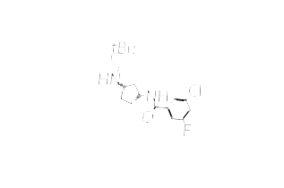 CC(C)(C)CCN[C@@H]1CC[C@@H](NC(=O)c2cc(F)cc(Cl)c2)C1